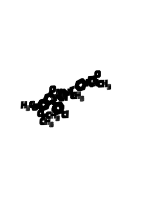 COc1cc2c(cc1OC(C)C)C(c1ccc(Cl)cc1)N(c1cnc(N(C)C[C@H]3CC[C@@H](N4CC(=O)N(C)C4)CC3)cn1)C(=O)C2